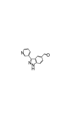 O=Cc1ccc2[nH]nc(-c3cccnc3)c2c1